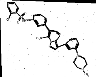 CN1CCN(c2cccc(-c3cnn4c(N)c(-c5cccc(NS(=O)(=O)c6ccccc6Cl)c5)cnc34)c2)CC1